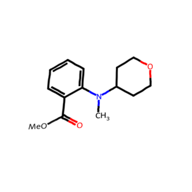 COC(=O)c1ccccc1N(C)C1CCOCC1